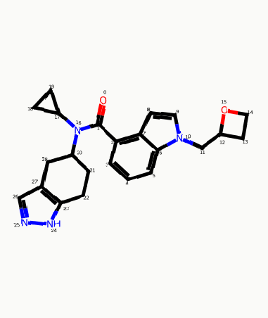 O=C(c1cccc2c1ccn2CC1CCO1)N(C1CC1)C1CCc2[nH]ncc2C1